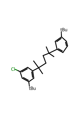 CC(C)(C)c1cccc(C(C)(C)CCC(C)(C)c2cc(Cl)cc(C(C)(C)C)c2)c1